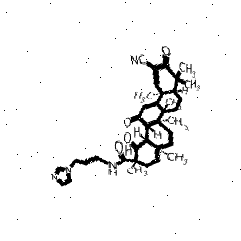 CC1(C)C(=O)C(C#N)=C[C@]2(C)C3=CC(=O)[C@H]4[C@H]5C(O)[C@@](C)(C(=O)NCCCn6ccnc6)CC[C@]5(C)CC[C@]4(C)[C@@]3(C)CC[C@@H]12